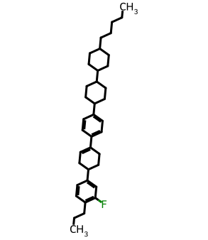 CCCCCC1CCC(C2CCC(c3ccc(C4=CCC(c5ccc(CCC)c(F)c5)CC4)cc3)CC2)CC1